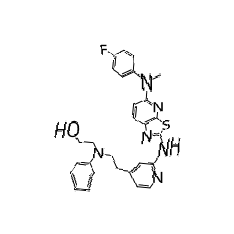 CN(c1ccc(F)cc1)c1ccc2nc(Nc3cc(CCN(CCO)c4ccccc4)ccn3)sc2n1